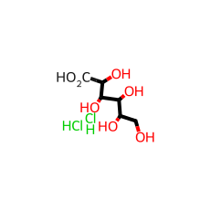 Cl.Cl.O=C(O)C(O)C(O)C(O)C(O)CO